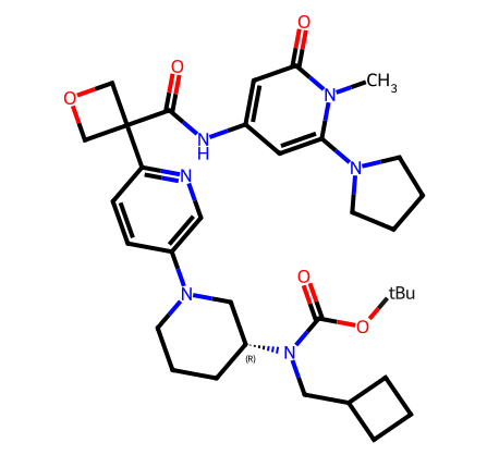 Cn1c(N2CCCC2)cc(NC(=O)C2(c3ccc(N4CCC[C@@H](N(CC5CCC5)C(=O)OC(C)(C)C)C4)cn3)COC2)cc1=O